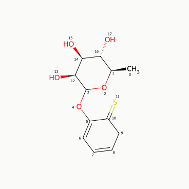 C[C@H]1OC(OC2=CC=CCC2=S)[C@@H](O)[C@@H](O)[C@@H]1O